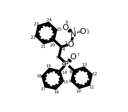 O=[N+]([O-])OC(CP(=O)(c1ccccc1)c1ccccc1)c1ccccc1